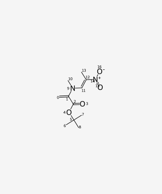 C=C(C(=O)OC(C)(C)C)N(C)/C=C(\C)[N+](=O)[O-]